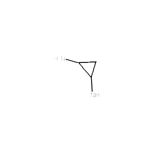 NC1CC1N